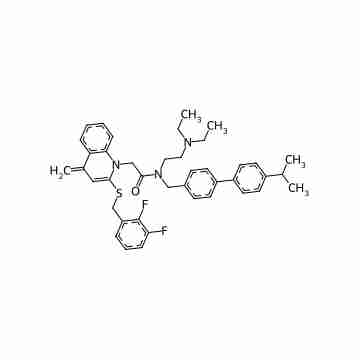 C=C1C=C(SCc2cccc(F)c2F)N(CC(=O)N(CCN(CC)CC)Cc2ccc(-c3ccc(C(C)C)cc3)cc2)c2ccccc21